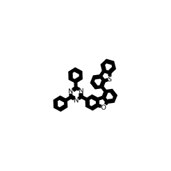 c1ccc(-c2nc(-c3ccccc3)nc(-c3ccc4oc5cccc(-c6cccc7c6sc6ccccc67)c5c4c3)n2)cc1